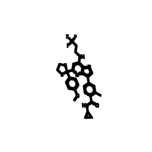 COc1ccc(C2(c3cc(NCCC(F)(F)F)c4ncc(-c5ccc(C(=O)NC6CC6)c(C)c5)n4n3)SCCS2)cc1